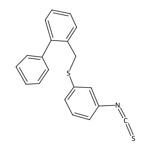 S=C=Nc1cccc(SCc2ccccc2-c2ccccc2)c1